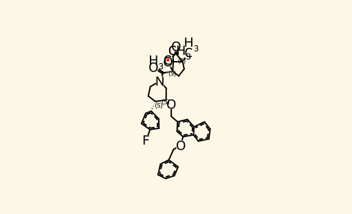 CC1(C)[C@@]2(C)CC[C@]1(C(=O)N1CC[C@@H](c3ccc(F)cc3)[C@H](OCc3cc(OCc4ccccc4)c4ccccc4c3)C1)OC2=O